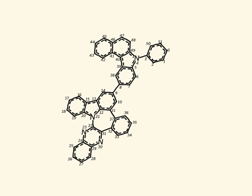 c1ccc(-n2c3ccc(-c4cc5c6c(c4)c4ccccc4n6-c4nc6ccccc6nc4-c4ccccc4-5)cc3c3c4ccccc4ccc32)cc1